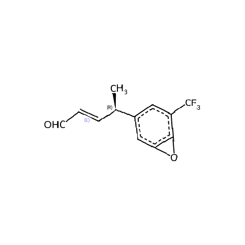 C[C@H](/C=C/C=O)c1cc2c(c(C(F)(F)F)c1)O2